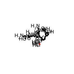 Cl.Cl.Cl.Cl.NCCC[C@@H]1NC(=O)[C@@H](N)Cc2cc(ccc2O)-c2ccc(O)c(c2)C[C@@H](C(=O)NCCC[C@H](N)C(=O)N[C@H](CO)CCN)NC1=O